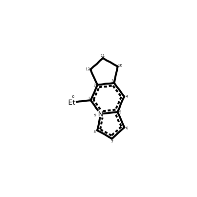 CCc1c2c(cc3cccn13)CCC2